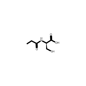 CCC(=O)N[C@H](CS)C(=O)O